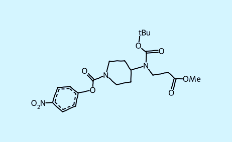 COC(=O)CCN(C(=O)OC(C)(C)C)C1CCN(C(=O)Oc2ccc([N+](=O)[O-])cc2)CC1